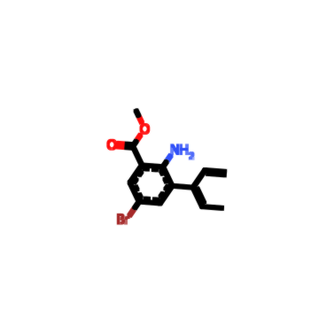 C=C/C(=C\C)c1cc(Br)cc(C(=O)OC)c1N